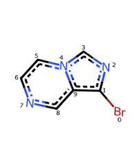 Brc1ncn2ccncc12